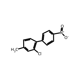 Cc1ccc(-c2ccc([N+](=O)[O-])cc2)c(Cl)c1